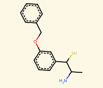 CC(N)C(S)c1cccc(OCc2ccccc2)c1